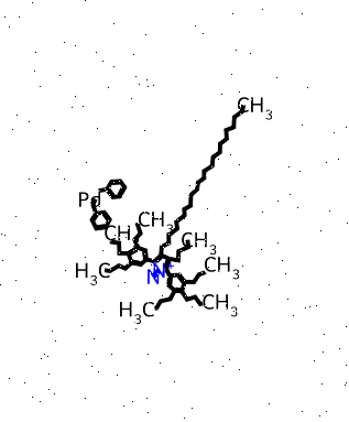 CCCCCCCCCCCCCCCCCCCCCCCC1=C(c2cc(CCCC)c(CCCC)c(CCCC)c2)[N+](=[N-])C(c2cc(CCCC)c(CCCC)c(CCCC)c2)=C1CCCC.c1ccc([CH2][Pd][CH2]c2ccccc2)cc1